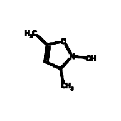 CC1=CC(C)N(O)O1